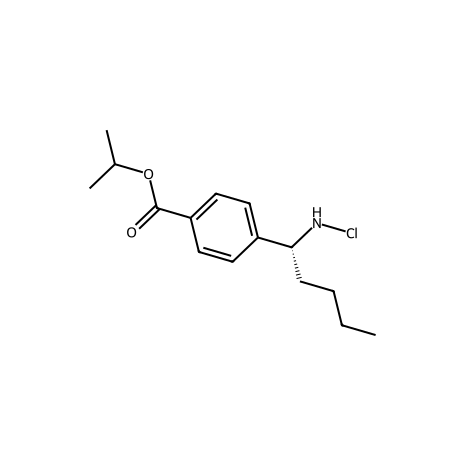 CCCC[C@@H](NCl)c1ccc(C(=O)OC(C)C)cc1